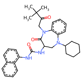 CC(C)(C)C(=O)CN1C(=O)C(NC(=O)Nc2cccc3ccccc23)CN(C2CCCCC2)c2ccccc21